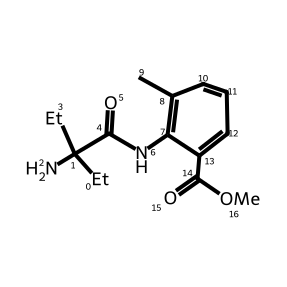 CCC(N)(CC)C(=O)Nc1c(C)cccc1C(=O)OC